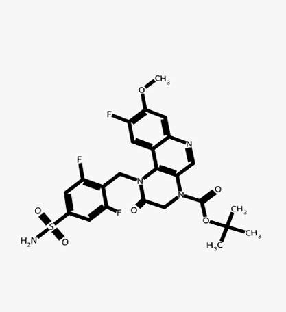 COc1cc2ncc3c(c2cc1F)N(Cc1c(F)cc(S(N)(=O)=O)cc1F)C(=O)CN3C(=O)OC(C)(C)C